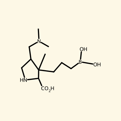 CN(C)CC1CNC(C(=O)O)C1(C)CCCB(O)O